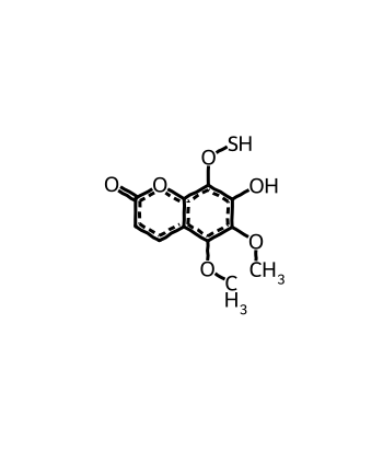 COc1c(O)c(OS)c2oc(=O)ccc2c1OC